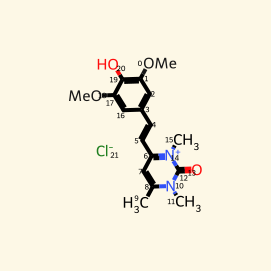 COc1cc(C=Cc2cc(C)n(C)c(=O)[n+]2C)cc(OC)c1O.[Cl-]